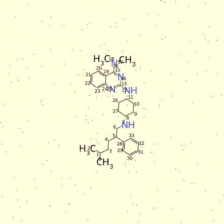 CC(C)CCC(CN[C@H]1CC[C@@H](Nc2nc(N(C)C)c3ccccc3n2)CC1)c1ccccc1